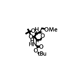 COC[C@H]1OC[C@H](NC(=O)OC(C)(C)C)[C@H]2OC(C)(C)O[C@H]21